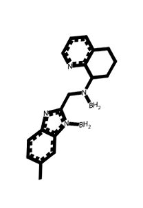 BN(Cc1nc2ccc(C)cc2n1B)C1CCCc2cccnc21